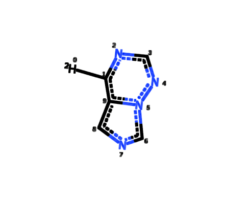 [2H]c1ncnn2cncc12